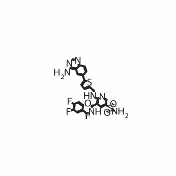 C[C@H](NC(=O)c1cc(S(N)(=O)=O)cnc1NCc1ccc(-c2ccc3ncnc(N)c3c2)s1)c1ccc(F)c(F)c1